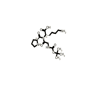 CC(C)(C)OC(=O)NCC(=O)N(C(=O)[C@@H]1CCCN1)[C@@H](CCCCN)C(=O)O